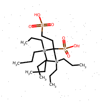 CCC[Si](CCC)(CCC)C(CCS(=O)(=O)O)([Si](CCC)(CCC)CCC)S(=O)(=O)O